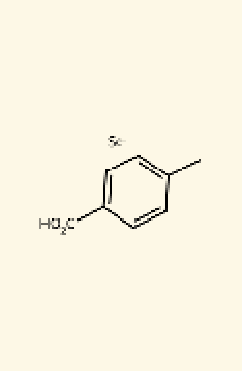 Cc1ccc(C(=O)O)cc1.[Sc]